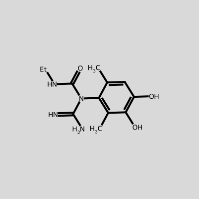 CCNC(=O)N(C(=N)N)c1c(C)cc(O)c(O)c1C